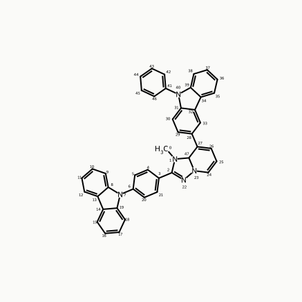 CN1C(c2ccc(-n3c4ccccc4c4ccccc43)cc2)=NN2C=CC=C(c3ccc4c(c3)c3ccccc3n4-c3ccccc3)C21